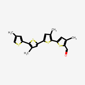 Cc1csc(-c2sc(-c3cc(C)c(-c4cc(C)c(C=O)s4)s3)cc2C)c1